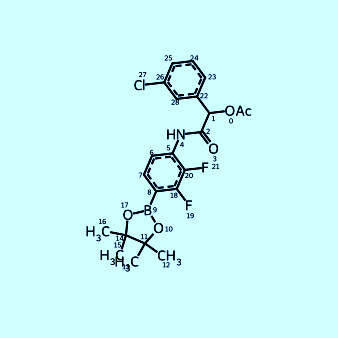 CC(=O)OC(C(=O)Nc1ccc(B2OC(C)(C)C(C)(C)O2)c(F)c1F)c1cccc(Cl)c1